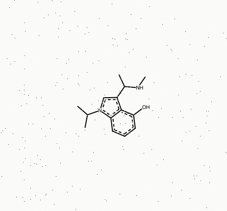 CNC(C)c1cn(C(C)C)c2cccc(O)c12